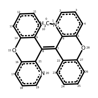 C[n+]1cccc2c1/C(=C1\c3ccccc3Oc3cccnc31)c1ccccc1O2